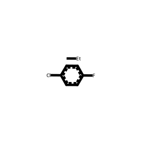 CCC.Fc1ccc(Cl)cc1